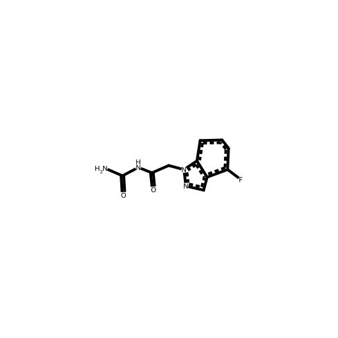 NC(=O)NC(=O)Cn1ncc2c(F)cccc21